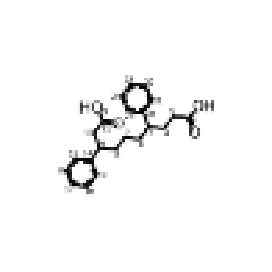 O=C(O)CCC(CCCC(CC(=O)O)c1ccccc1)c1ccccc1